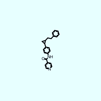 O=C(Nc1ccc(C2CC2CCc2ccccc2)cc1)c1ccncc1